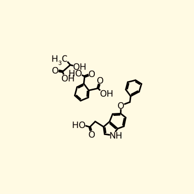 CC(O)C(=O)O.O=C(O)Cc1c[nH]c2ccc(OCc3ccccc3)cc12.O=C(O)c1ccccc1C(=O)O